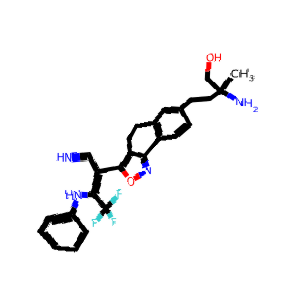 CC(N)(CO)CCc1ccc2c(c1)CCc1c-2noc1/C(C=N)=C(/Nc1ccccc1)C(F)(F)F